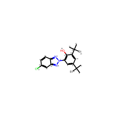 CCC(C)(C)c1cc(-n2nc3ccc(Cl)cc3n2)c(O)c(C(C)(C)CC)c1